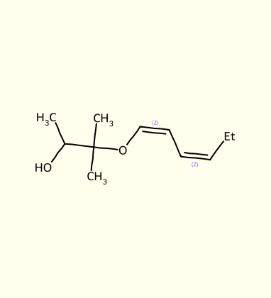 CC/C=C\C=C/OC(C)(C)C(C)O